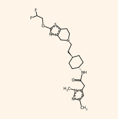 Cc1cc(CC(=O)N[C@H]2CC[C@H](CCN3CCc4sc(OCC(F)F)nc4C3)CC2)n(C)n1